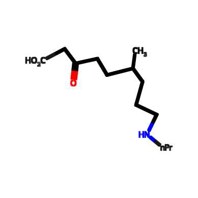 CCCNCCCC(C)CCC(=O)CC(=O)O